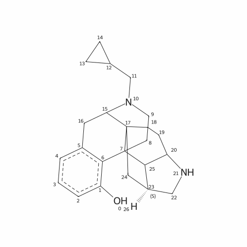 Oc1cccc2c1C13CCN(CC4CC4)C(C2)C12CCC1NC[C@@H](C2)C13